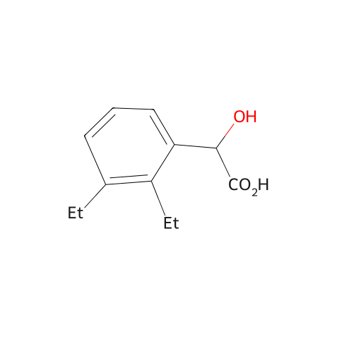 CCc1cccc(C(O)C(=O)O)c1CC